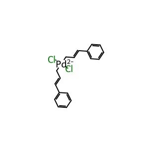 [Cl][Pd-2]([Cl])([CH2]C=Cc1ccccc1)[CH2]C=Cc1ccccc1